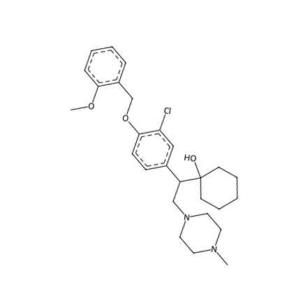 COc1ccccc1COc1ccc(C(CN2CCN(C)CC2)C2(O)CCCCC2)cc1Cl